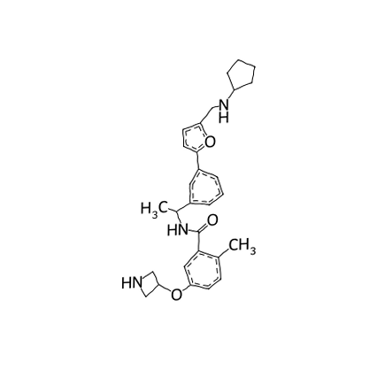 Cc1ccc(OC2CNC2)cc1C(=O)NC(C)c1cccc(-c2ccc(CNC3CCCC3)o2)c1